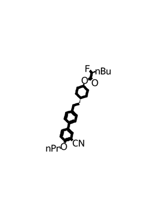 CCCC[C@H](F)C(=O)O[C@H]1CC[C@H](CCc2ccc(-c3ccc(OCCC)c(C#N)c3)cc2)CC1